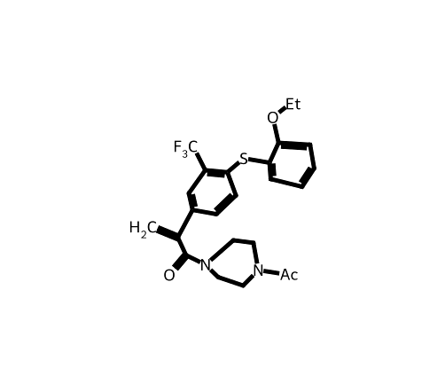 C=C(C(=O)N1CCN(C(C)=O)CC1)c1ccc(Sc2ccccc2OCC)c(C(F)(F)F)c1